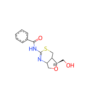 O=C(NC1=NC2CO[C@H](CO)C2CS1)c1ccccc1